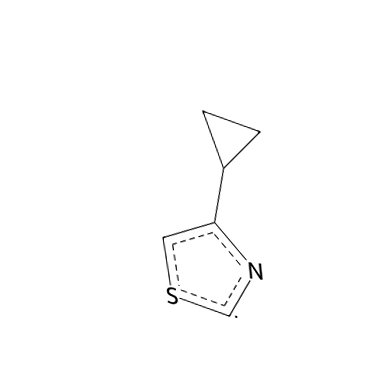 [c]1nc(C2CC2)cs1